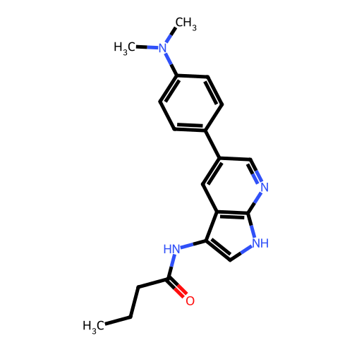 CCCC(=O)Nc1c[nH]c2ncc(-c3ccc(N(C)C)cc3)cc12